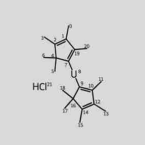 CC1=C(C)C(C)(C)[C]([U][C]2=C(C)C(C)=C(C)C2(C)C)=C1C.Cl